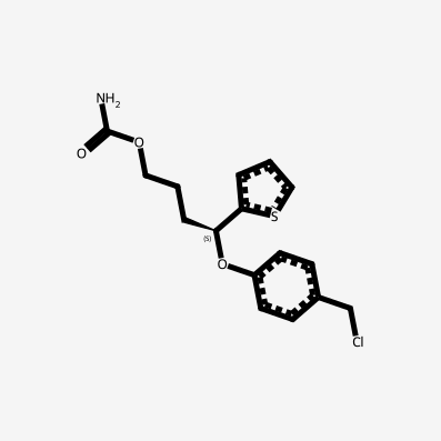 NC(=O)OCCC[C@H](Oc1ccc(CCl)cc1)c1cccs1